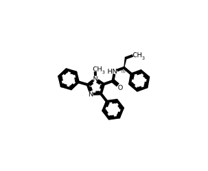 CC[C@H](NC(=O)c1c(-c2ccccc2)nc(-c2ccccc2)n1C)c1ccccc1